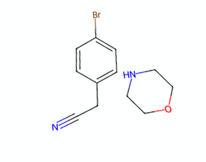 C1COCCN1.N#CCc1ccc(Br)cc1